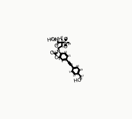 C[C@@](CCn1c(=O)oc2cc(C#Cc3ccc(CO)cc3)ccc21)(C(=O)NO)S(C)(=O)=O